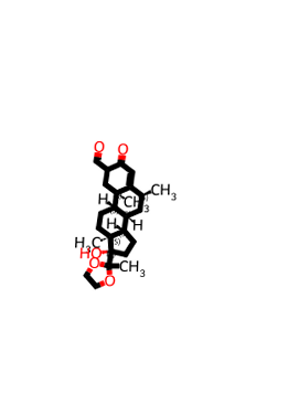 C[C@H]1C[C@@H]2[C@H](CC[C@@]3(C)[C@H]2CC[C@]3(O)C2(C)OCCO2)[C@@]2(C)CC(C=O)C(=O)C=C12